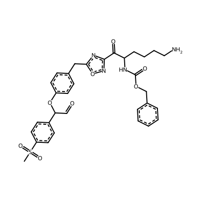 CS(=O)(=O)c1ccc(C(C=O)Oc2ccc(Cc3nc(C(=O)C(CCCCN)NC(=O)OCc4ccccc4)no3)cc2)cc1